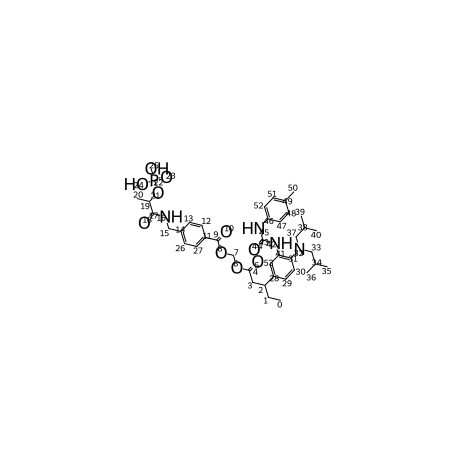 CCC(CC(=O)OCOC(=O)c1ccc(CNC(=O)C(C)OP(=O)(O)O)cc1)c1ccc(N(CC(C)C)CC(C)C)c(NC(=O)Nc2ccc(C)cc2)c1